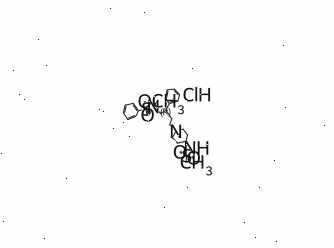 CN(C[C@H](CCN1CCC(NS(C)(=O)=O)CC1)c1ccccc1)S(=O)(=O)c1ccccc1.Cl